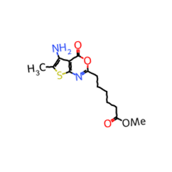 COC(=O)CCCCCc1nc2sc(C)c(N)c2c(=O)o1